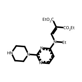 CCOC(=O)C(=CN(CC)c1ccnc(N2CCNCC2)n1)C(=O)OCC